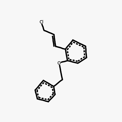 ClCC=Cc1ccccc1OCc1ccccc1